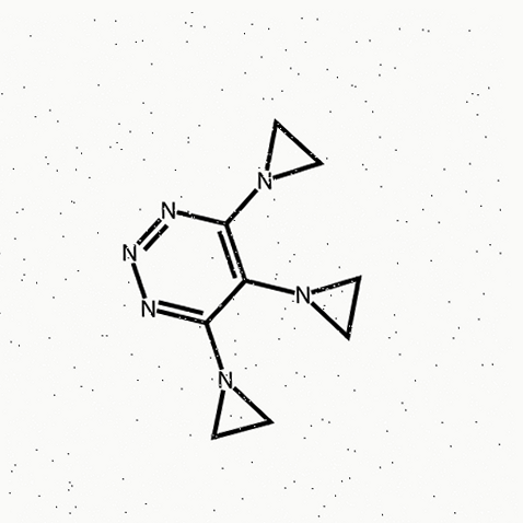 C1CN1c1nnnc(N2CC2)c1N1CC1